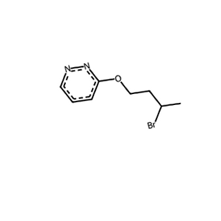 CC(Br)CCOc1cccnn1